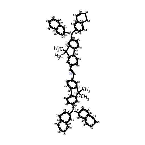 CC1(C)c2cc(/C=C/c3ccc4c(c3)C(C)(C)c3cc(N(c5ccc6ccccc6c5)c5ccc6ccccc6c5)ccc3-4)ccc2-c2ccc(N(c3ccc4c(c3)C=CCC4)c3ccc4ccccc4c3)cc21